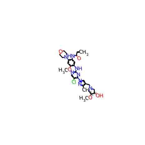 C=CC(=O)Nc1cc(Nc2ncc(Cl)c(-n3cc(CN4C[C@H](O)[C@H](OC)C4)c(C)n3)n2)c(OC)cc1N1CCOCC1